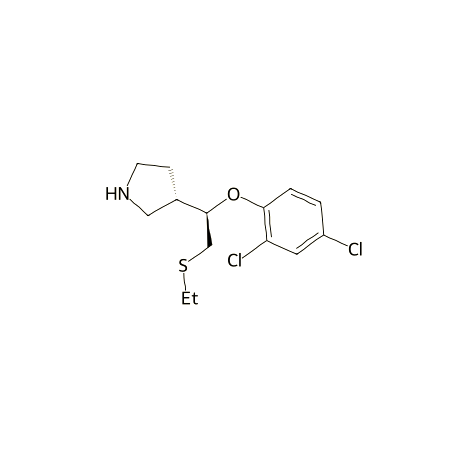 CCSC[C@H](Oc1ccc(Cl)cc1Cl)[C@H]1CCNC1